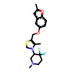 CC1=C(COc2ccc3oc(C)cc3c2)SCN1C1CN(C)CCC1(F)F